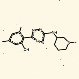 Cc1cc(C)c(-c2nnc(NC3CCCN(C)C3)nn2)c(O)c1